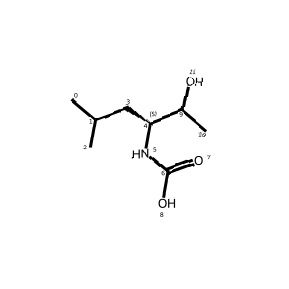 CC(C)C[C@H](NC(=O)O)C(C)O